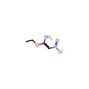 CCOC(N)=C[N+](=O)[O-]